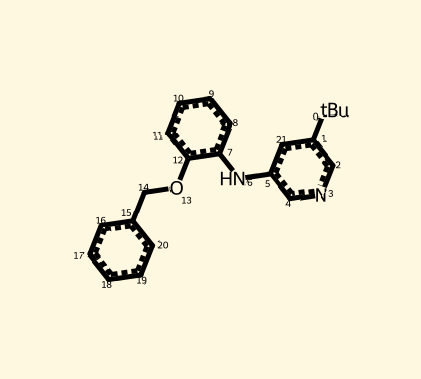 CC(C)(C)c1cncc(Nc2ccccc2OCc2ccccc2)c1